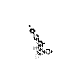 CCc1nc(Nc2nc(C)cc(N3CCN(c4ccc(F)cc4)CC3)n2)nc(N2CCN(C)CC2)n1